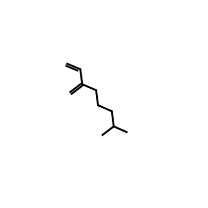 C=CC(=C)CCCC(C)C